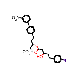 O=C(O)CC(CCc1ccc(-c2cccc([N+](=O)[O-])c2)cc1)OC(=O)CC(O)CCc1ccc(I)cc1